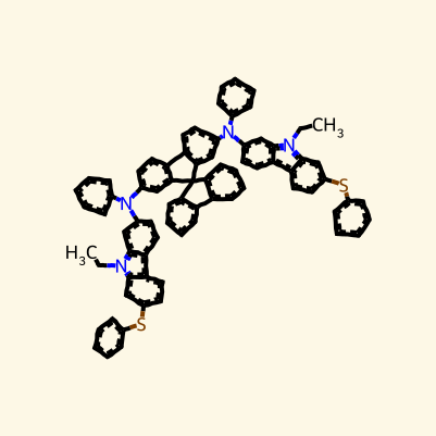 CCn1c2cc(Sc3ccccc3)ccc2c2ccc(N(c3ccccc3)c3ccc4c(c3)C3(c5ccccc5-c5ccccc53)c3cc(N(c5ccccc5)c5ccc6c7ccc(Sc8ccccc8)cc7n(CC)c6c5)ccc3-4)cc21